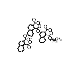 O=C([O-])c1ccc2ccccc2c1C(=O)[O-].O=C([O-])c1ccc2ccccc2c1C(=O)[O-].O=C([O-])c1ccc2ccccc2c1C(=O)[O-].[Au+3].[Au+3]